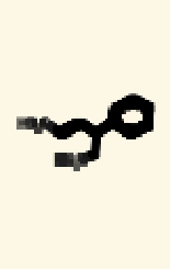 O=C(O)C=CC(CS(=O)(=O)O)c1ccccc1